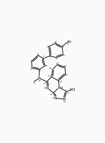 CC(C)c1ccc(-c2cccc(N(C)c3nc4nnc(Cl)n4c4ccccc34)c2)cc1